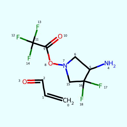 C=CC=O.NC1CN(OC(=O)C(F)(F)F)CC1(F)F